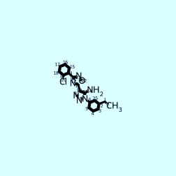 CCc1cccc(-n2nnc(-c3nc(-c4ccccc4Cl)no3)c2N)c1